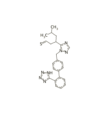 CC(C)CC(CC=S)c1ncnn1Cc1ccc(-c2ccccc2-c2nnn[nH]2)cc1